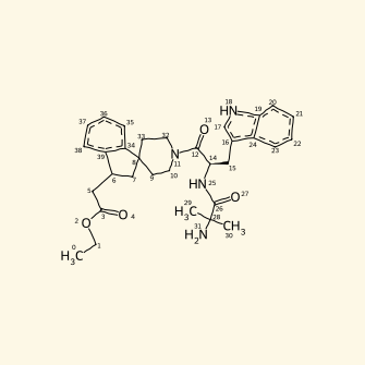 CCOC(=O)CC1CC2(CCN(C(=O)[C@@H](Cc3c[nH]c4ccccc34)NC(=O)C(C)(C)N)CC2)c2ccccc21